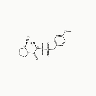 COc1ccc(CS(=O)(=O)C(C)(C)[C@H](N)C(=O)N2CCC[C@H]2C#N)cc1